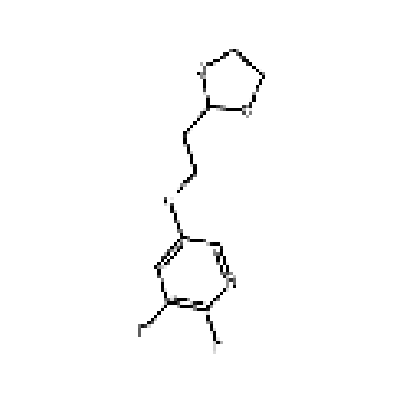 Fc1cc(OCCC2OCCO2)cnc1F